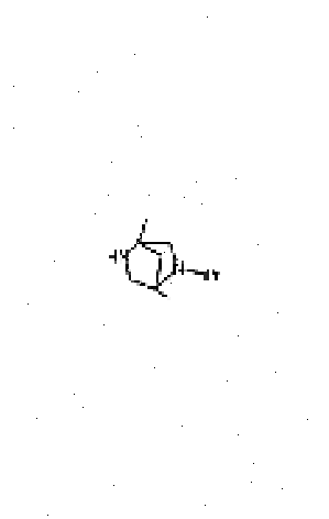 CC(C)N1CC2(C)CC1(C)CN2